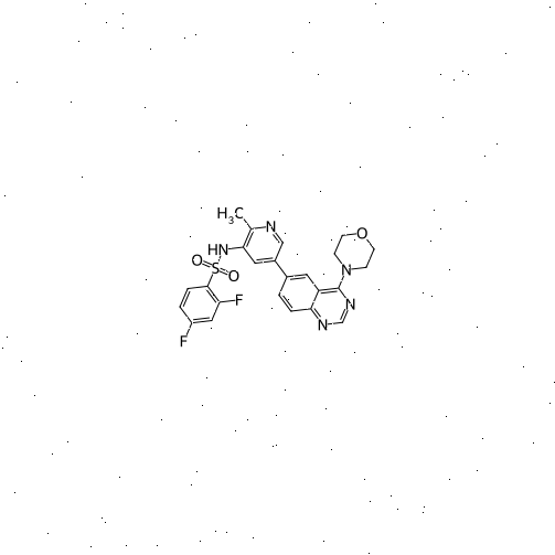 Cc1ncc(-c2ccc3ncnc(N4CCOCC4)c3c2)cc1NS(=O)(=O)c1ccc(F)cc1F